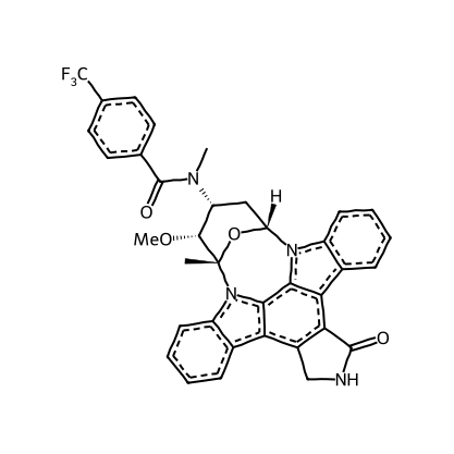 CO[C@@H]1[C@H](N(C)C(=O)c2ccc(C(F)(F)F)cc2)C[C@H]2O[C@]1(C)n1c3ccccc3c3c4c(c5c6ccccc6n2c5c31)C(=O)NC4